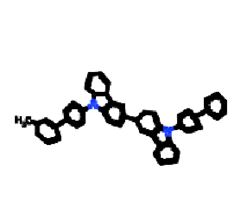 CC1C=C(c2ccc(N3c4ccc(C5C=c6c(n(-c7ccc(-c8ccccc8)cc7)c7ccccc67)=CC5)cc4C4C=CC=CC43)cc2)C=CC1